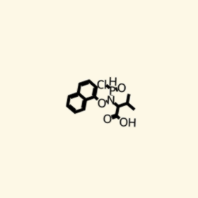 CC(C)C(C(=O)O)N(Oc1cccc2ccccc12)[PH](=O)Cl